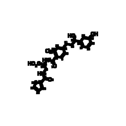 O=C(NC[C@H](NC(=O)c1ccc(CCC(O)c2cccc(O)c2)cc1Cl)C(=O)O)c1cccs1